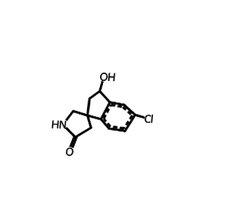 O=C1CC2(CN1)CC(O)c1cc(Cl)ccc12